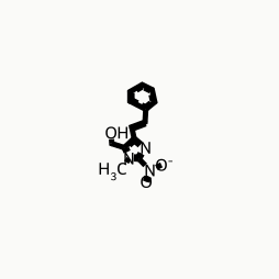 Cn1c([N+](=O)[O-])nc(/C=C/c2ccccc2)c1CO